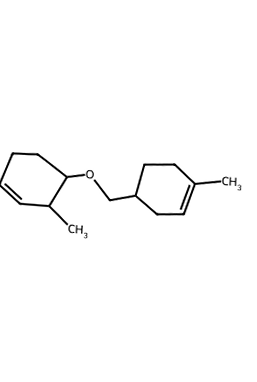 CC1=CCC(COC2CCC=CC2C)CC1